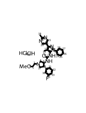 COCCN1C[C@@H](NC(=O)Nc2c(C)c(-c3cnc(C)nc3)nn2-c2ccccc2)[C@H](c2cccc(F)c2)C1.Cl.Cl